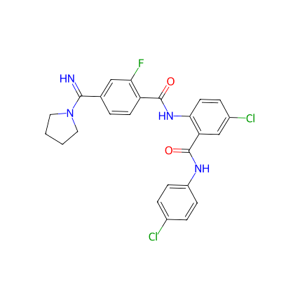 N=C(c1ccc(C(=O)Nc2ccc(Cl)cc2C(=O)Nc2ccc(Cl)cc2)c(F)c1)N1CCCC1